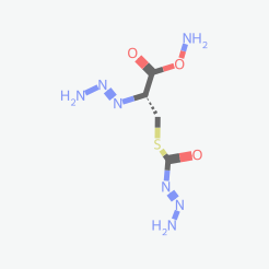 NN=NC(=O)SC[C@H](N=NN)C(=O)ON